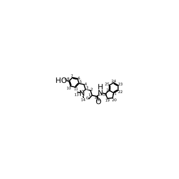 CC(C[C@H](Cc1ccc(O)cc1)N(C)C)C(=O)NC1CCc2ccccc21